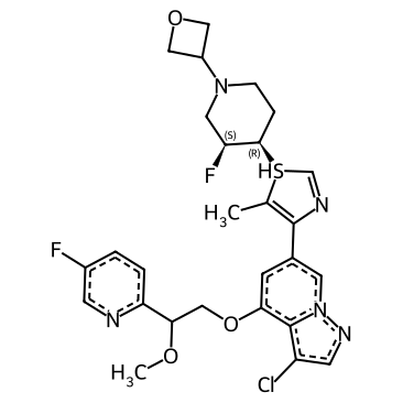 COC(COc1cc(C2=C(C)[SH]([C@@H]3CCN(C4COC4)C[C@@H]3F)C=N2)cn2ncc(Cl)c12)c1ccc(F)cn1